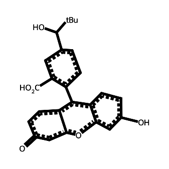 CC(C)(C)C(O)c1ccc(-c2c3ccc(=O)cc-3oc3cc(O)ccc23)c(C(=O)O)c1